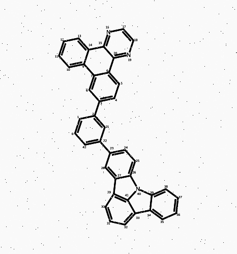 c1cc(-c2ccc3c(c2)c2ccccc2c2nccnc32)cc(-c2ccc3c(c2)c2cccc4c5ccccc5n3c42)c1